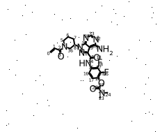 C=CC(=O)N1CCCC(n2nc(C(=O)Nc3ccc(OC(=O)N(C)C)c(F)c3F)c3c(N)ncnc32)C1